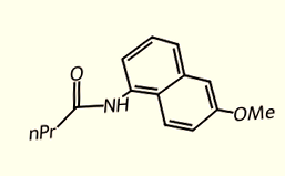 CCCC(=O)Nc1cccc2cc(OC)ccc12